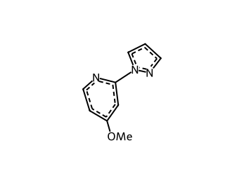 COc1ccnc(-n2cccn2)c1